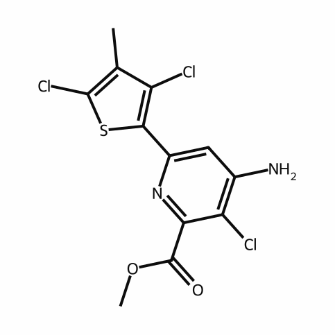 COC(=O)c1nc(-c2sc(Cl)c(C)c2Cl)cc(N)c1Cl